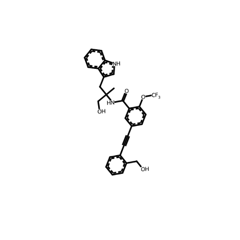 CC(CO)(Cc1c[nH]c2ccccc12)NC(=O)c1cc(C#Cc2ccccc2CO)ccc1OC(F)(F)F